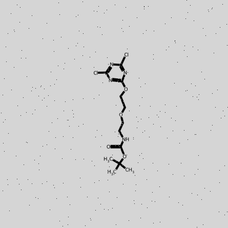 CC(C)(C)OC(=O)NCCOCCOc1nc(Cl)nc(Cl)n1